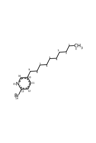 CCCCCCCCCCc1ccc(Br)nc1